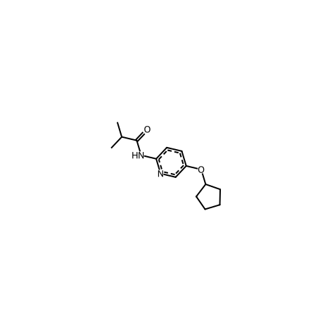 CC(C)C(=O)Nc1ccc(OC2CCCC2)cn1